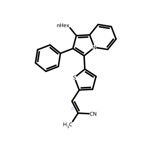 CCCCCCc1c(-c2ccccc2)c(-c2ccc(/C=C(/C)C#N)s2)n2ccccc12